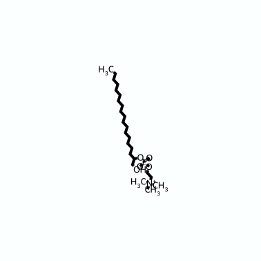 CCCCCCCCCCCCCCCCCC(CO)OP(=O)([O-])OCC[N+](C)(C)C